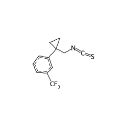 FC(F)(F)c1cccc(C2(CN=C=S)CC2)c1